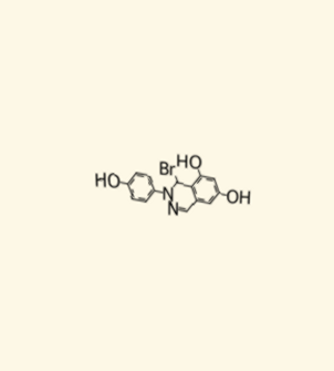 Oc1ccc(N2N=Cc3cc(O)cc(O)c3C2Br)cc1